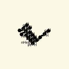 CC(C)N1CCC(C(=O)Nc2ccncc2)CC1.CCCCCCN1CCC(C(=O)Nc2ccncc2)CC1.CN1CCC(C(=O)Nc2ccncc2)CC1.COc1ccc(CCN2CCC(C(=O)Nc3ccncc3)CC2)cc1.O=C(Nc1cccnc1)C1CCNCC1.O=C(Nc1ccncc1)C1CCN(CCc2ccccc2)CC1.O=C(Nc1ccncc1)C1CCN(Cc2ccccc2)CC1